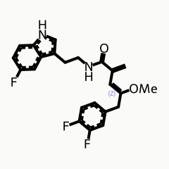 C=C(/C=C(/Cc1ccc(F)c(F)c1)OC)C(=O)NCCc1c[nH]c2ccc(F)cc12